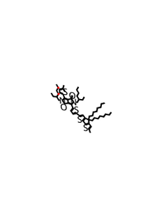 CCCCCCCCC1(CCCCCCCC)c2cc(C)sc2-c2sc(-c3ccc(C4=C5C(=O)N(CC(CC)CCCC)C(c6ccc(C)s6)=C5C(=O)N4CC(CC)CCCC)s3)cc21